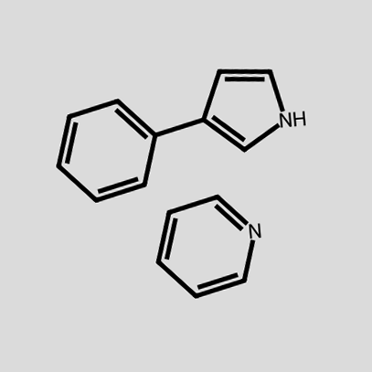 c1ccc(-c2cc[nH]c2)cc1.c1ccncc1